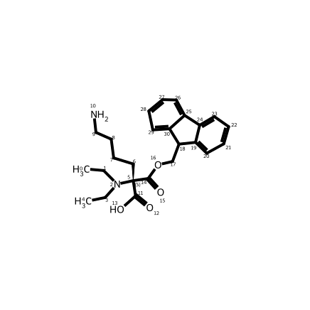 CCN(CC)[C@@](CCCCN)(C(=O)O)C(=O)OCC1c2ccccc2-c2ccccc21